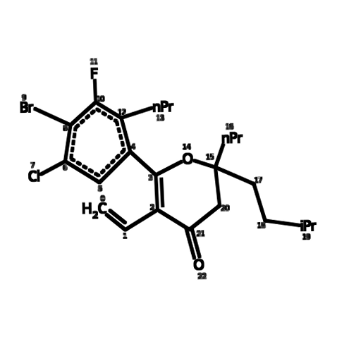 C=CC1=C(c2cc(Cl)c(Br)c(F)c2CCC)OC(CCC)(CCC(C)C)CC1=O